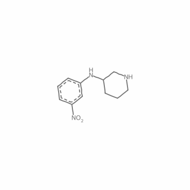 O=[N+]([O-])c1cccc(NC2CCCNC2)c1